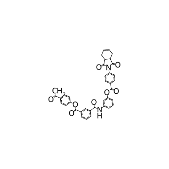 CC(=O)c1ccc(OC(=O)c2cccc(C(=O)Nc3cccc(OC(=O)c4ccc(N5C(=O)C6CC=CCC6C5=O)cc4)c3)c2)cc1